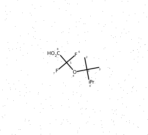 CC(C)C(C)(C)OC(F)(F)C(=O)O